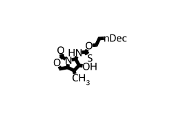 CCCCCCCCCCCCOC(=S)NC1C(O)C(C)C2COC(=O)N21